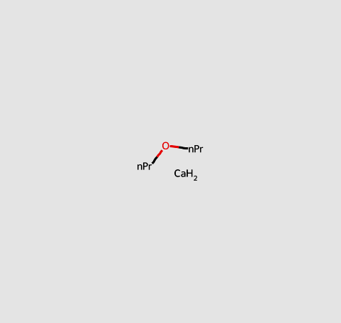 CCCOCCC.[CaH2]